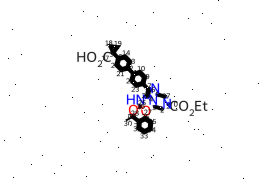 CCOC(=O)N1CCn2c(nc(-c3ccc(-c4ccc(C5(C(=O)O)CC5)cc4)cc3)c2NC(=O)O[C@H](C)c2ccccc2)C1